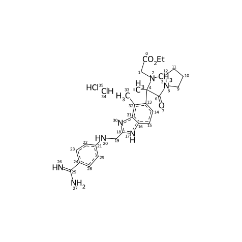 CCOC(=O)CN(C)C(C)(C(=O)N1CCCC1)c1ccc2[nH]c(CNc3ccc(C(=N)N)cc3)nc2c1C.Cl.Cl